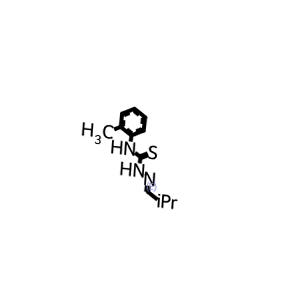 Cc1ccccc1NC(=S)N/N=C/C(C)C